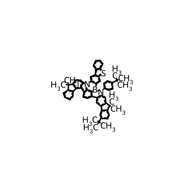 CC(C)(C)c1ccc(N2B3c4cc5sc6ccccc6c5cc4-n4c5ccc6c(c5c5ccc(c3c54)-c3cc4c(cc32)C(C)(C)c2ccc(C(C)(C)C)cc2-4)-c2ccccc2C6(C)C)cc1